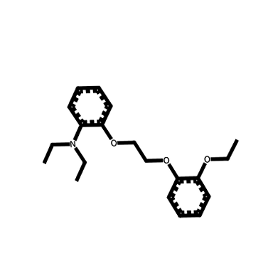 CCOc1ccccc1OCCOc1ccccc1N(CC)CC